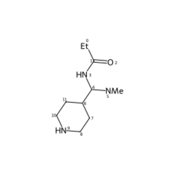 CCC(=O)NC(NC)C1CCNCC1